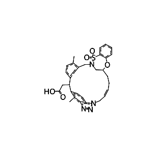 Cc1ccc2cc1CN1CC(CCC=CCn3nnc4c(C)c(ccc43)C2CC(=O)O)Oc2ccccc2S1(=O)=O